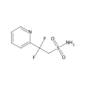 NS(=O)(=O)CC(F)(F)c1ccccn1